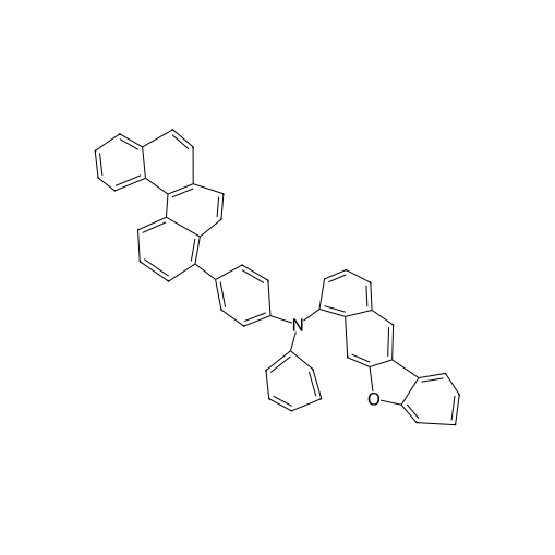 c1ccc(N(c2ccc(-c3cccc4c3ccc3ccc5ccccc5c34)cc2)c2cccc3cc4c(cc23)oc2ccccc24)cc1